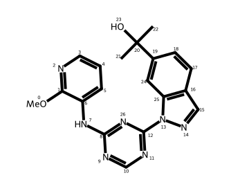 COc1ncccc1Nc1ncnc(-n2ncc3ccc(C(C)(C)O)cc32)n1